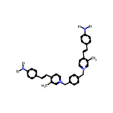 CCN(CC)c1ccc(/C=C/c2cc[n+](Cc3ccc(C[n+]4ccc(/C=C/c5ccc(N(CC)CC)cc5)c(C)c4)cc3)cc2C)cc1